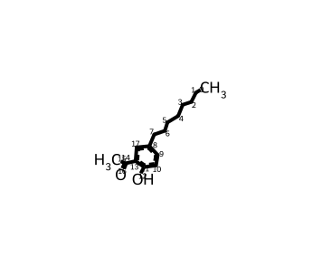 CCCCCCCCc1ccc(O)c(C(C)=O)c1